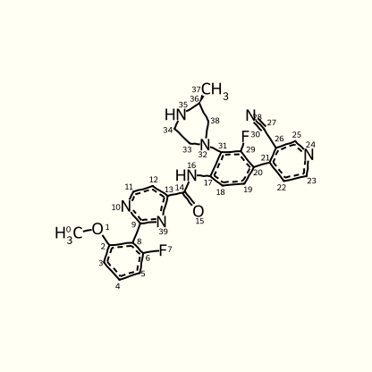 COc1cccc(F)c1-c1nccc(C(=O)Nc2ccc(-c3ccncc3C#N)c(F)c2N2CCN[C@@H](C)C2)n1